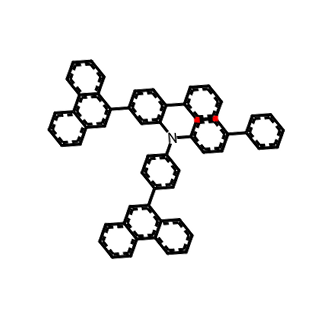 c1ccc(-c2ccc(N(c3ccc(-c4cc5ccccc5c5ccccc45)cc3)c3cc(-c4cc5ccccc5c5ccccc45)ccc3-c3ccccc3)cc2)cc1